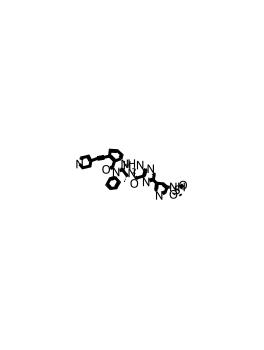 C[C@@H](NC(=O)c1nc(-c2cncc(NS(C)(=O)=O)c2)cnc1N)c1nc2cccc(C#CC3=CC=NCC3)c2c(=O)n1-c1ccccc1